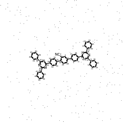 N#Cc1cc(-c2ccc(-c3nc(-c4ccccc4)nc(-c4ccccc4)n3)cc2)ccc1-c1ccc(-c2nc(-c3ccccc3)nc(-c3ccccc3)n2)cc1